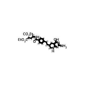 CCOC(=O)CC[C@H](NC(=O)c1ccc(CCC2CNc3nc(N)nc(O)c3C2)cc1)C(=O)OCC